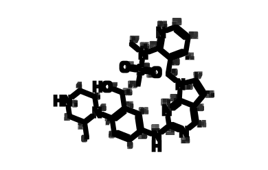 CC1CNCCN1c1ccc(Nc2ncc3ccn(Cc4cccnc4N(C)S(C)(=O)=O)c3n2)cc1CO